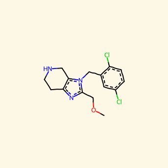 COCc1nc2c(n1Cc1cc(Cl)ccc1Cl)CNCC2